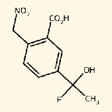 CC(O)(F)c1ccc(C[N+](=O)[O-])c(C(=O)O)c1